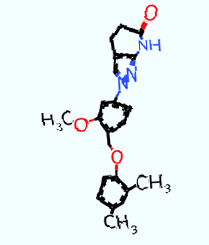 COc1cc(-n2cc3c(n2)NC(=O)CC3)ccc1COc1ccc(C)cc1C